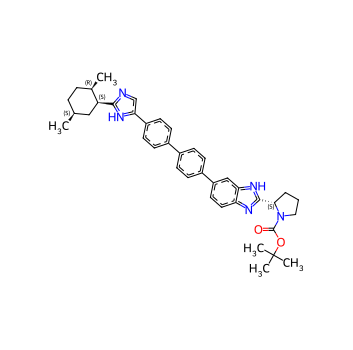 C[C@H]1CC[C@@H](C)[C@@H](c2ncc(-c3ccc(-c4ccc(-c5ccc6nc([C@@H]7CCCN7C(=O)OC(C)(C)C)[nH]c6c5)cc4)cc3)[nH]2)C1